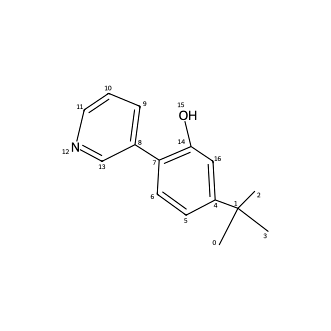 CC(C)(C)c1ccc(-c2cccnc2)c(O)c1